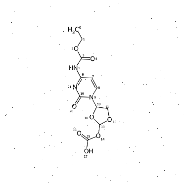 CCOC(=O)Nc1ccn(C2COC(OC(=O)O)O2)c(=O)n1